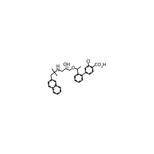 CC(OC[C@@H](O)CNC(C)(C)Cc1ccc2ccccc2c1)c1ccccc1-c1ccc(C(=O)O)c(Cl)c1